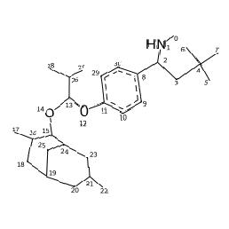 CNC(CC(C)(C)C)c1ccc(OC(OC2C(C)CC3CC(C)CC2C3)C(C)C)cc1